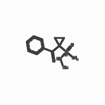 B[SH](=O)(NC(C)(C)C)C1(C(=O)c2ccccc2)CC1